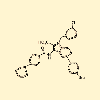 CC(C)(C)c1ccc(-c2ccc3c(c2)c(NC(=O)c2ccc(-c4ccccc4)cc2)c(C(=O)O)n3Cc2cccc(Cl)c2)cc1